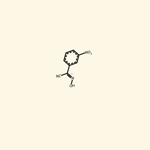 N#C/C(=N\O)c1cccc([N+](=O)[O-])c1